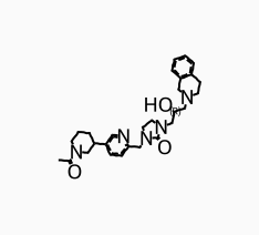 CC(=O)N1CCCC(c2ccc(CN3CCN(C[C@H](O)CN4CCc5ccccc5C4)C3=O)nc2)C1